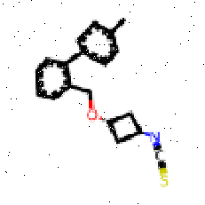 Cc1ccc(-c2ccccc2CO[C@H]2C[C@H](N=C=S)C2)cc1